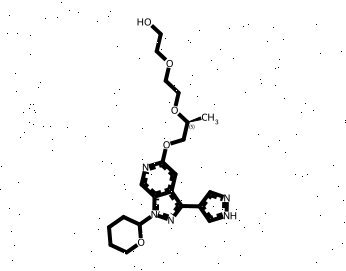 C[C@@H](COc1cc2c(-c3cn[nH]c3)nn(C3CCCCO3)c2cn1)OCCOCCO